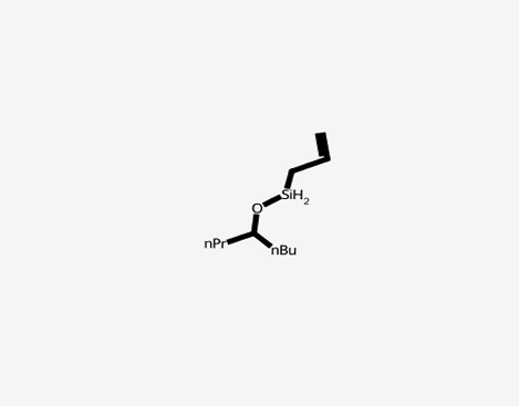 C=CC[SiH2]OC(CCC)CCCC